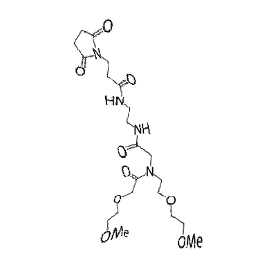 COCCOCCN(CC(=O)NCCNC(=O)CCN1C(=O)CCC1=O)C(=O)COCCOC